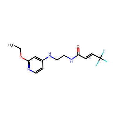 CCOc1cc(NCCNC(=O)/C=C/C(F)(F)F)ccn1